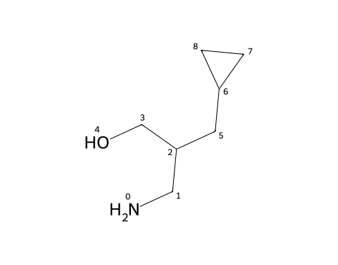 NCC(CO)CC1CC1